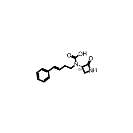 O=C1NC[C@@H]1N(CCC=Cc1ccccc1)C(=O)O